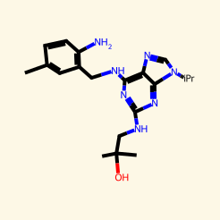 Cc1ccc(N)c(CNc2nc(NCC(C)(C)O)nc3c2ncn3C(C)C)c1